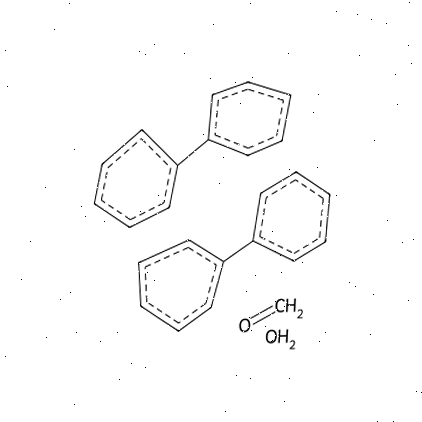 C=O.O.c1ccc(-c2ccccc2)cc1.c1ccc(-c2ccccc2)cc1